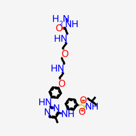 Cc1cnc(Nc2ccc(OCCNCCOCCNCC(=O)NN)cc2)nc1Nc1cccc(S(=O)(=O)NC(C)(C)C)c1